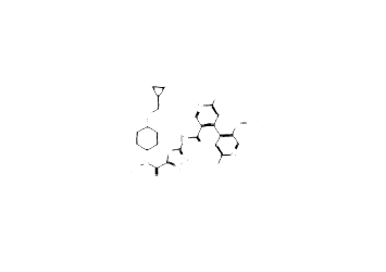 COc1cnc(Cl)cc1-c1cc(C)ncc1C(=O)Nc1nnc(C(=O)N(C)[C@H]2CC[C@H](OCC3CC3)CC2)s1